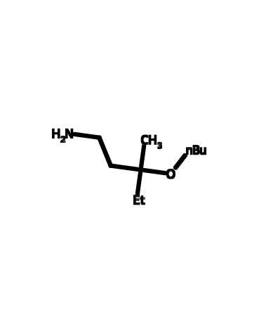 CCCCOC(C)(CC)CCN